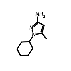 Cc1cc(N)nn1C1CCCCC1